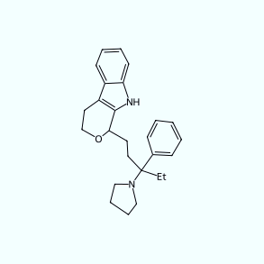 CCC(CCC1OCCc2c1[nH]c1ccccc21)(c1ccccc1)N1CCCC1